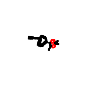 C#Cc1ccc([C@@H]2OC(C)(C)O[C@H]2C)cc1